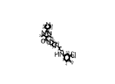 Cc1ccc(NCCCN2CC3CN(C(=O)c4c(C)nc(-c5ccncc5)nc4C)CC3C2)cc1Cl